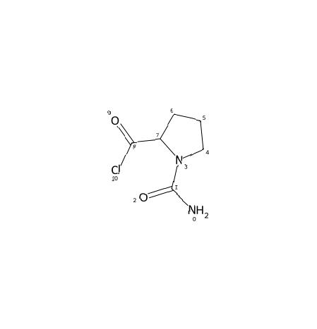 NC(=O)N1CCCC1C(=O)Cl